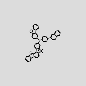 C[Si]1(C)c2cc(N(c3ccc(-c4ccc5ccccc5c4)cc3)c3ccc4oc5ccccc5c4c3)ccc2-c2c1ccc1c2sc2ccccc21